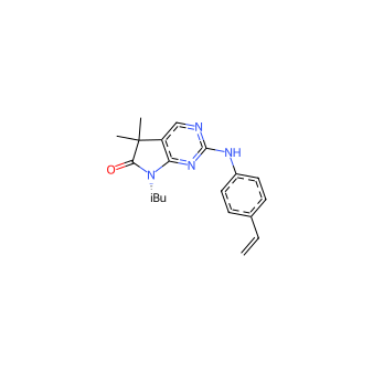 C=Cc1ccc(Nc2ncc3c(n2)N([C@@H](C)CC)C(=O)C3(C)C)cc1